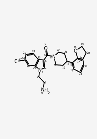 NCCn1cc(C(=O)N2CCC(c3cccc4c3OCC4)CC2)c2ccc(Cl)cc21